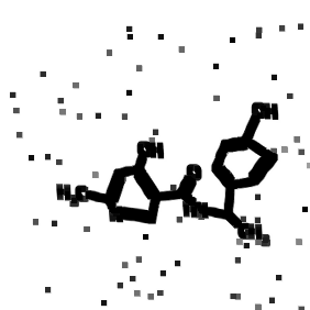 Cc1cc(O)c(C(=O)NC(C)c2ccc(O)cc2)cn1